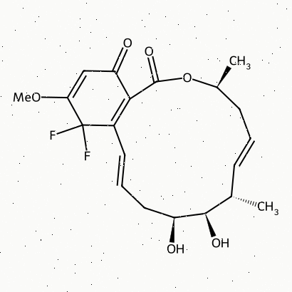 COC1=CC(=O)C2=C(/C=C/C[C@H](O)[C@H](O)[C@@H](C)/C=C/C[C@H](C)OC2=O)C1(F)F